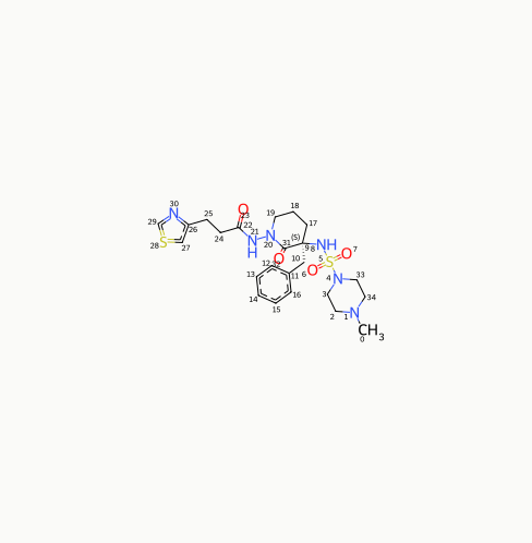 CN1CCN(S(=O)(=O)N[C@]2(Cc3ccccc3)CCCN(NC(=O)CCc3cscn3)C2=O)CC1